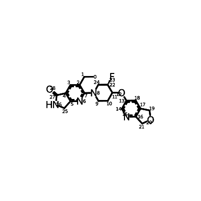 CCc1cc2c(nc1N1CCC(Oc3cnc4c(c3)COC4)[C@H](F)C1)CNC2=O